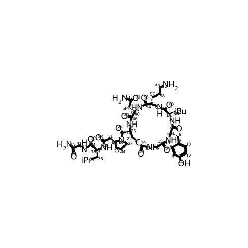 CC[C@H](C)[C@@H]1NC(=O)[C@H](Cc2ccc(O)cc2)NC(=O)CNC(=O)CC[C@@H](C(=O)N2CCC[C@H]2CC(=O)N[C@@H](CC(C)C)C(=O)NCC(N)=O)NC(=O)[C@H](CC(N)=O)NC(=O)[C@H](CCCN)NC1=O